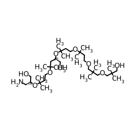 CC(C)(CO)COCC(C)(C)COCCC(C)(C)OCCC(C)(C)O[C@@H](CO)CC(C)(C)OCCC(C)(C)O[C@@H](CN)CO